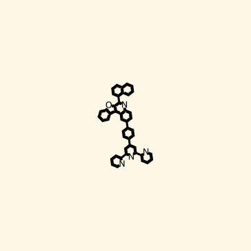 c1ccc(-c2cc(-c3ccc(-c4ccc5nc(-c6cccc7ccccc67)c6oc7ccccc7c6c5c4)cc3)cc(-c3ccccn3)n2)nc1